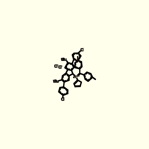 Cc1ccc([C](c2ccc(C)cc2)=[Zr+2]([C]2=CC=CC2)[CH]2c3cc(-c4ccc(Cl)cc4)c(C(C)(C)C)cc3-c3cc(C(C)(C)C)c(-c4ccc(Cl)cc4)cc32)cc1.[Cl-].[Cl-]